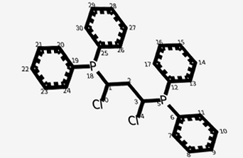 ClC(CC(Cl)P(c1ccccc1)c1ccccc1)P(c1ccccc1)c1ccccc1